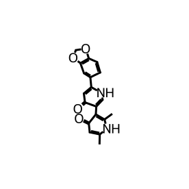 Cc1cc(=O)c(-c2c[nH]c(-c3ccc4c(c3)OCO4)cc2=O)c(C)[nH]1